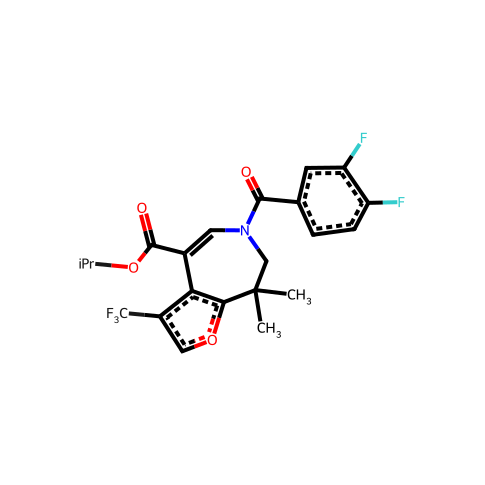 CC(C)OC(=O)C1=CN(C(=O)c2ccc(F)c(F)c2)CC(C)(C)c2occ(C(F)(F)F)c21